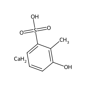 Cc1c(O)cccc1S(=O)(=O)O.[CaH2]